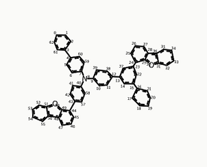 c1ccc(-c2ccc(N(c3ccc(-c4cc(-c5ccccc5)cc(-c5cccc6c5oc5ccccc56)c4)cc3)c3ccc(-c4cccc5c4oc4ccccc45)cc3)cc2)cc1